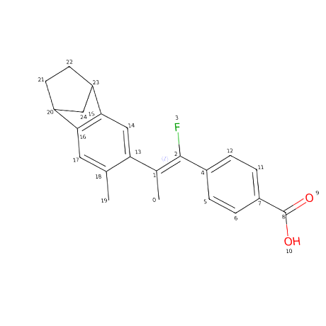 C/C(=C(/F)c1ccc(C(=O)O)cc1)c1cc2c(cc1C)C1CCC2C1